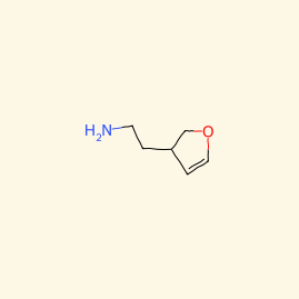 NCCC1C=COC1